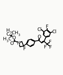 CC(C)(C)OC(=O)N1CC(F)(c2ccc(C(=O)/C=C(\c3cc(Cl)c(F)c(Cl)c3)C(F)(F)F)cc2)C1